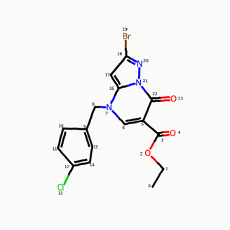 CCOC(=O)c1cn(Cc2ccc(Cl)cc2)c2cc(Br)nn2c1=O